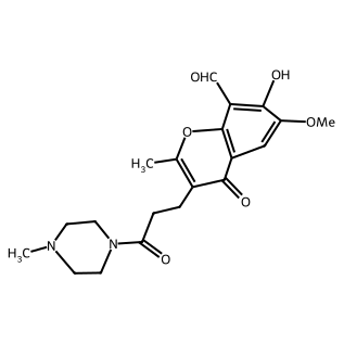 COc1cc2c(=O)c(CCC(=O)N3CCN(C)CC3)c(C)oc2c(C=O)c1O